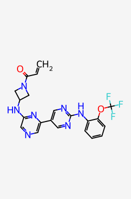 C=CC(=O)N1CC(Nc2cncc(-c3cnc(Nc4ccccc4OC(F)(F)F)nc3)n2)C1